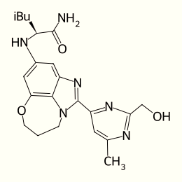 CCC(C)[C@H](Nc1cc2c3c(c1)nc(-c1cc(C)nc(CO)n1)n3CCCO2)C(N)=O